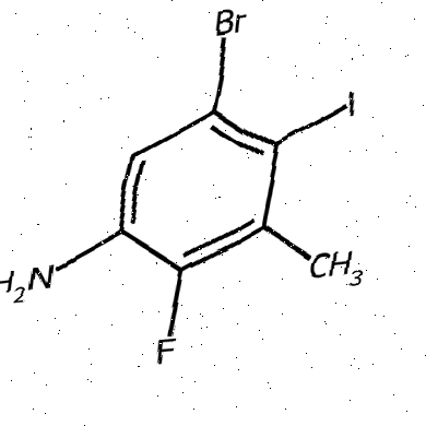 Cc1c(F)c(N)cc(Br)c1I